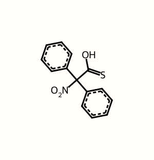 O=[N+]([O-])C(C(O)=S)(c1ccccc1)c1ccccc1